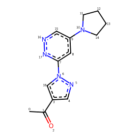 CC(=O)c1cnn(-c2cc(N3CCCC3)cnn2)c1